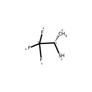 C[C@H](S)C(F)(F)F